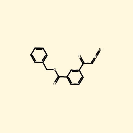 [N-]=[N+]=CC(=O)c1cccc(C(=O)OCc2ccccc2)c1